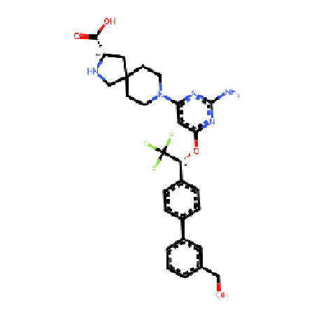 Nc1nc(O[C@H](c2ccc(-c3cccc(CO)c3)cc2)C(F)(F)F)cc(N2CCC3(CC2)CN[C@H](C(=O)O)C3)n1